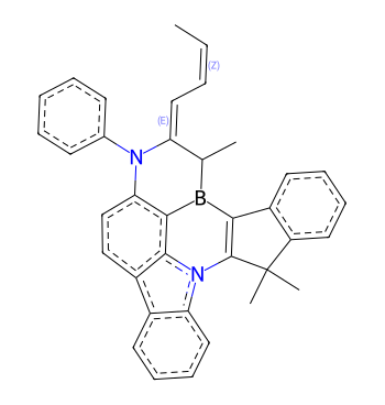 C/C=C\C=C1/C(C)B2C3=C(n4c5ccccc5c5ccc(c2c54)N1c1ccccc1)C(C)(C)c1ccccc13